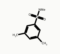 CNS(=O)(=O)c1cc(C)cc(C)c1